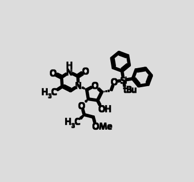 COC[C@@H](C)O[C@H]1C(O)[C@@H](CO[Si](c2ccccc2)(c2ccccc2)C(C)(C)C)O[C@H]1n1cc(C)c(=O)[nH]c1=O